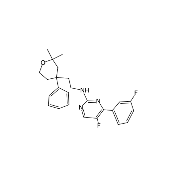 CC1(C)CC(CCNc2ncc(F)c(-c3cccc(F)c3)n2)(c2ccccc2)CCO1